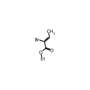 C/C=C(\Br)C(=O)OCC